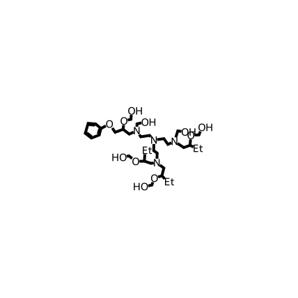 CCC(CN(CO)CCN(CCN(CO)CC(COc1ccccc1)OCO)CCN(CC(CC)OCO)CC(CC)OCO)OCO